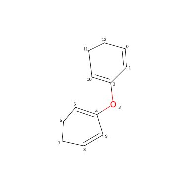 C1=CC(OC2=CCCC=C2)=CCC1